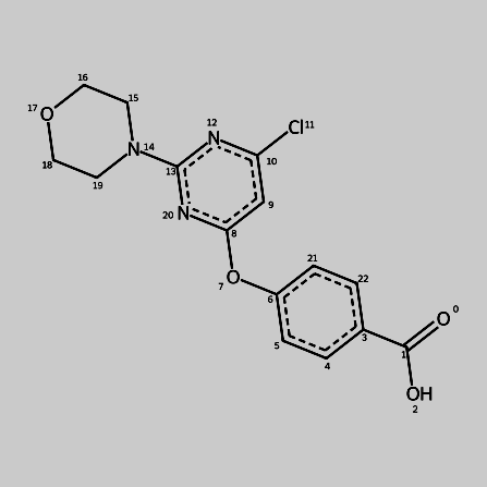 O=C(O)c1ccc(Oc2cc(Cl)nc(N3CCOCC3)n2)cc1